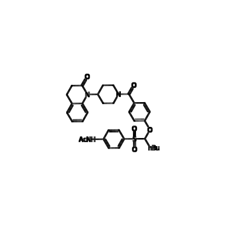 CCCCC(Oc1ccc(C(=O)N2CCC(N3C(=O)CCc4ccccc43)CC2)cc1)S(=O)(=O)c1ccc(NC(C)=O)cc1